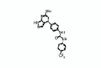 CC(C)(C)c1cc(-c2ccc(NC(=O)Nc3ccc(C(F)(F)F)cc3)cc2)c2cn[nH]c2n1